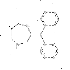 c1ccc(C(c2ccccc2)C2CNCCC[N]2)cc1